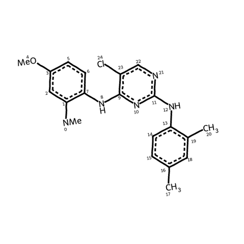 CNc1cc(OC)ccc1Nc1nc(Nc2ccc(C)cc2C)ncc1Cl